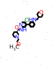 COCCN1CCC[C@@H](C(=O)Nc2cc(-c3cccc(NCC4CCOCC4)c3)c(Cl)cn2)C1